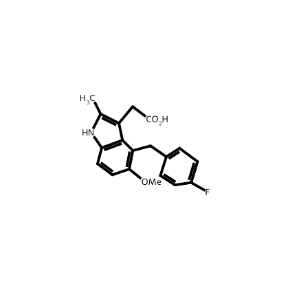 COc1ccc2[nH]c(C)c(CC(=O)O)c2c1Cc1ccc(F)cc1